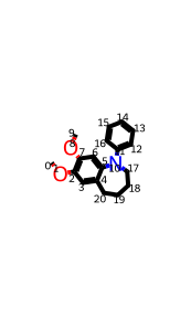 COc1cc2c(cc1OC)N(c1ccccc1)CCCC2